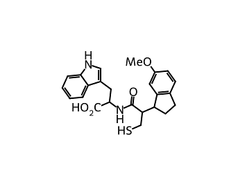 COc1ccc2c(c1)C(C(CS)C(=O)NC(Cc1c[nH]c3ccccc13)C(=O)O)CC2